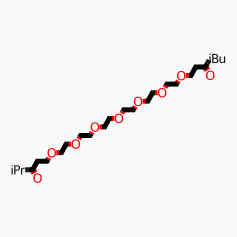 CCC(C)C(=O)CCOCCOCCOCCOCCOCCOCCOCCC(=O)C(C)C